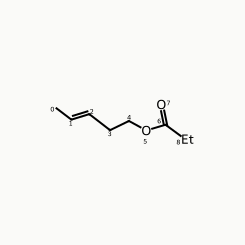 CC=CCCOC(=O)CC